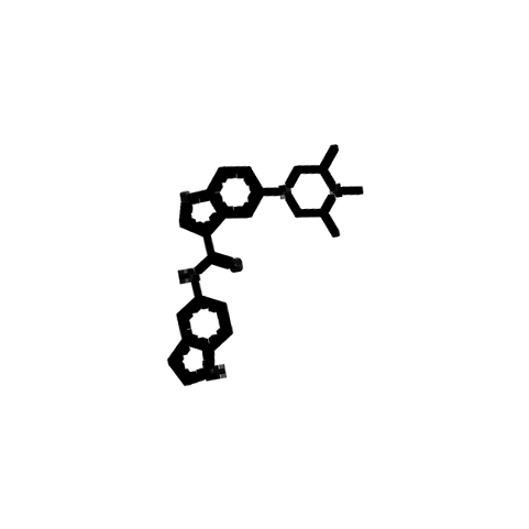 CC1CN(c2ccc3scc(C(=O)Nc4ccc5[nH]ccc5c4)c3c2)CC(C)N1C